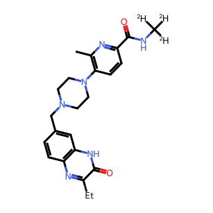 [2H]C([2H])([2H])NC(=O)c1ccc(N2CCN(Cc3ccc4nc(CC)c(=O)[nH]c4c3)CC2)c(C)n1